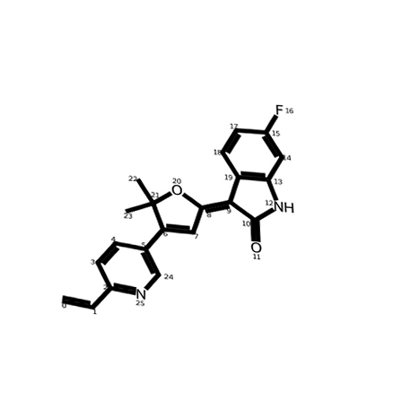 C=Cc1ccc(C2=C/C(=C3\C(=O)Nc4cc(F)ccc43)OC2(C)C)cn1